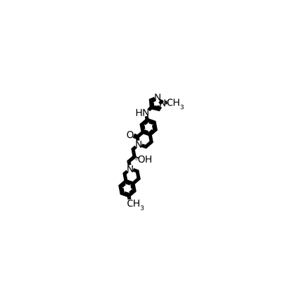 Cc1ccc2c(c1)CCN(C[C@@H](O)CN1CCc3ccc(Nc4cnn(C)c4)cc3C1=O)C2